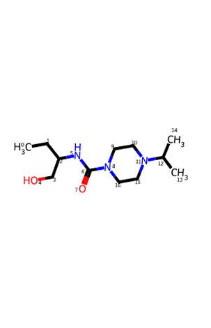 CCC(CO)NC(=O)N1CCN(C(C)C)CC1